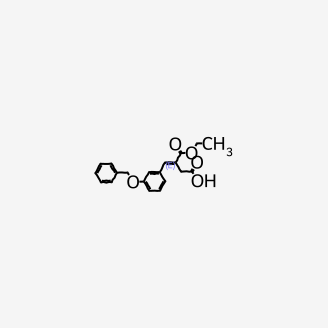 CCOC(=O)/C(=C/c1cccc(OCc2ccccc2)c1)CC(=O)O